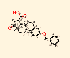 C[C@]12CC[C@@H]3c4ccc(OCc5ccccc5)cc4CC[C@H]3[C@@H]1C(C(=O)O)CC2=O